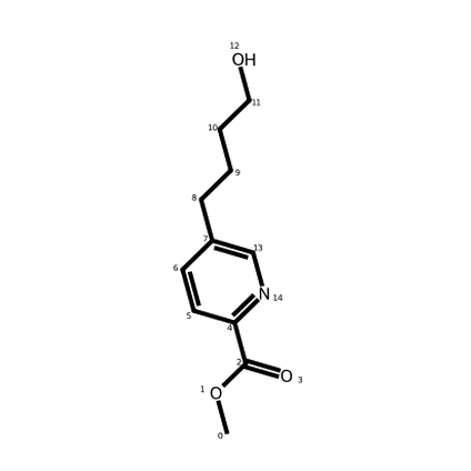 COC(=O)c1ccc(CCCCO)cn1